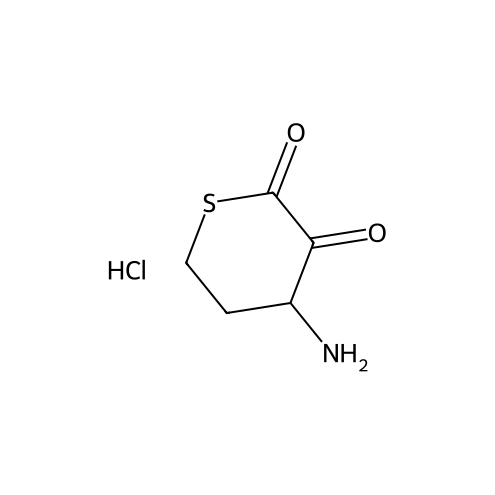 Cl.NC1CCSC(=O)C1=O